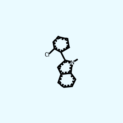 Cn1c(-c2ccccc2Cl)cc2ccccc21